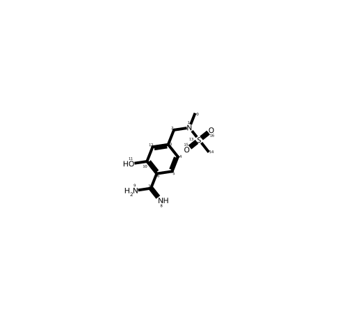 CN(Cc1ccc(C(=N)N)c(O)c1)S(C)(=O)=O